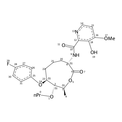 CCCO[C@H]1[C@H](C)OC(=O)[C@@H](NC(=O)c2nccc(OC)c2O)CCC[C@@H]1Oc1ccc(F)cc1